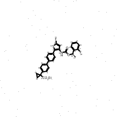 CCOC(=O)C1(c2ccc(-c3ccc(-c4sc(F)cc4NC(=O)O[C@H](C)c4ccccc4F)cc3)cc2)CC1